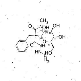 CNNC(=O)C(Cc1ccccc1)(C(=O)NC)[C@@H]1O[C@H](CO)[C@@H](O)[C@H](O)[C@H]1O